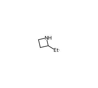 C[CH]C1CCN1